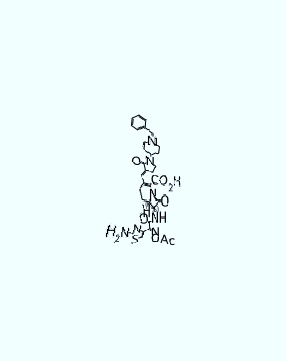 CC(=O)ON=C(C(=O)N[C@@H]1C(=O)N2C(C(=O)O)=C(C=C3CCN(C4CCN(Cc5ccccc5)CC4)C3=O)CC[C@H]12)c1csc(N)n1